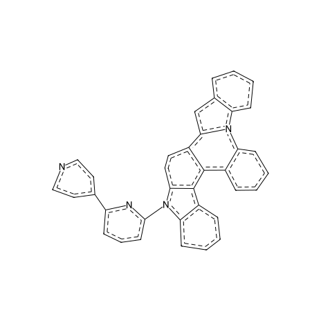 c1cc(-c2ccncc2)nc(-n2c3ccccc3c3c4c5ccccc5n5c6ccccc6cc5c4ccc32)c1